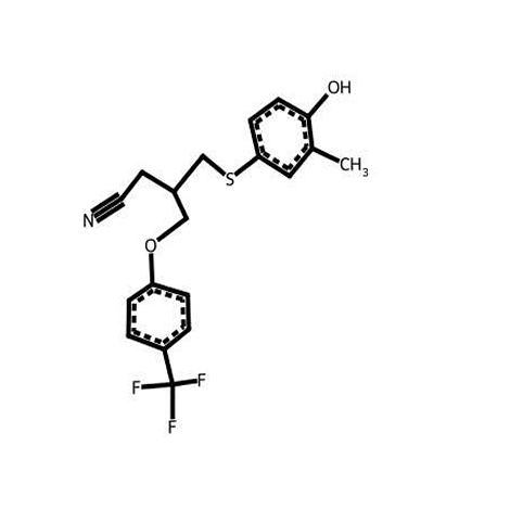 Cc1cc(SCC(CC#N)COc2ccc(C(F)(F)F)cc2)ccc1O